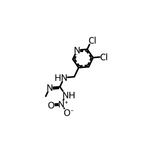 CN=C(NCc1cnc(Cl)c(Cl)c1)N[N+](=O)[O-]